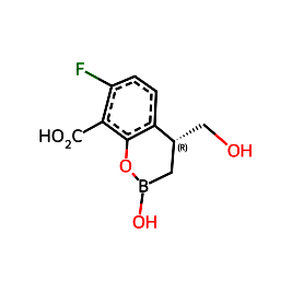 O=C(O)c1c(F)ccc2c1OB(O)C[C@H]2CO